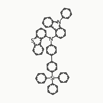 c1ccc(-n2c3ccccc3c3c(N(c4ccc(-c5ccc([Si](c6ccccc6)(c6ccccc6)c6ccccc6)cc5)cc4)c4cccc5sc6ccccc6c45)cccc32)cc1